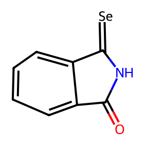 O=C1NC(=[Se])c2ccccc21